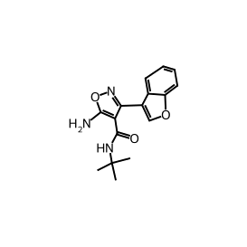 CC(C)(C)NC(=O)c1c(-c2coc3ccccc23)noc1N